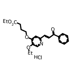 CCOC(=O)CCCOc1cc(C=CC(=O)c2ccccc2)ncc1OCC.Cl